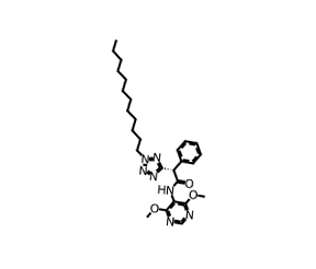 CCCCCCCCCCCCn1nnc([C@@H](C(=O)Nc2c(OC)ncnc2OC)c2ccccc2)n1